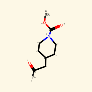 CC(C)C(=O)CC1CCN(C(=O)OC(C)(C)C)CC1